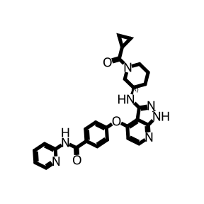 O=C(Nc1ccccn1)c1ccc(Oc2ccnc3[nH]nc(N[C@@H]4CCCN(C(=O)C5CC5)C4)c23)cc1